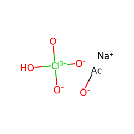 CC(=O)[O-].[Na+].[O-][Cl+3]([O-])([O-])O